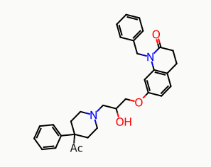 CC(=O)C1(c2ccccc2)CCN(CC(O)COc2ccc3c(c2)N(Cc2ccccc2)C(=O)CC3)CC1